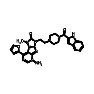 CN1C(=O)N(CCN2CCN(C(=O)c3cc4ccccc4[nH]3)CC2)C2N=C3C(=C(c4ccco4)N=CN3N)N21